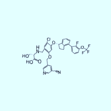 N#Cc1cncc(COc2cc(O[C@H]3CCc4c(-c5cccc(OC(F)(F)F)c5F)cccc43)c(Cl)cc2CN[C@@H](CO)C(=O)O)c1